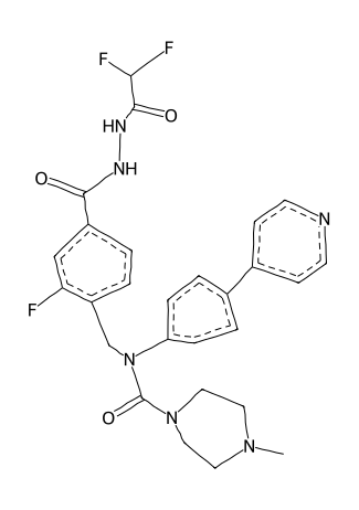 CN1CCN(C(=O)N(Cc2ccc(C(=O)NNC(=O)C(F)F)cc2F)c2ccc(-c3ccncc3)cc2)CC1